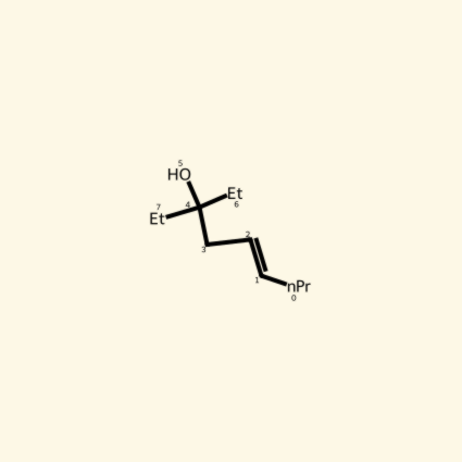 C[CH]C/C=C/CC(O)(CC)CC